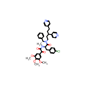 COc1cc(C(=O)C(=O)N(C)C(Cc2ccc(Cl)cc2)C(=O)N(CCC(CCc2ccncc2)c2ccncc2)Cc2ccccc2)cc(OC)c1OC